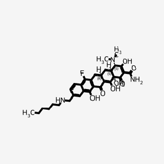 CCCCCCNCc1ccc2c(F)c3c(c(O)c2c1)C(=O)C1=C(O)[C@]2(O)C(=O)C(C(N)=O)=C(O)[C@@H](N(C)C)[C@@H]2C[C@@H]1C3